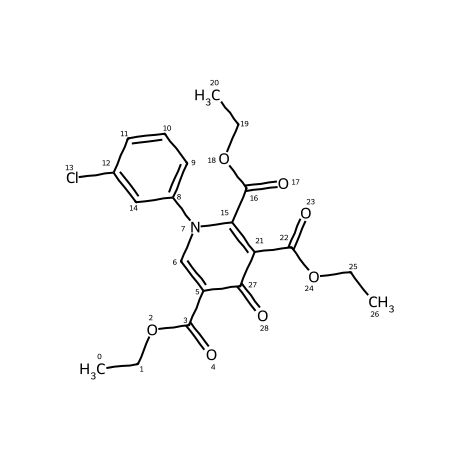 CCOC(=O)c1cn(-c2cccc(Cl)c2)c(C(=O)OCC)c(C(=O)OCC)c1=O